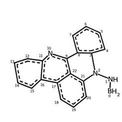 BNN1c2ccccc2-c2nc3ccccc3c3cccc1c23